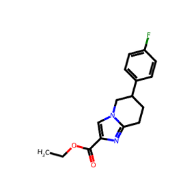 CCOC(=O)c1cn2c(n1)CCC(c1ccc(F)cc1)C2